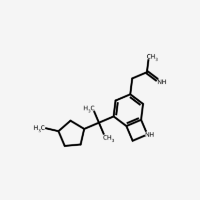 CC(=N)Cc1cc2c(c(C(C)(C)C3CCC(C)C3)c1)CN2